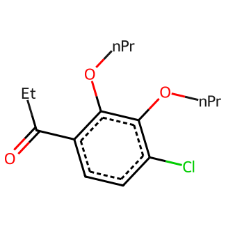 CCCOc1c(Cl)ccc(C(=O)CC)c1OCCC